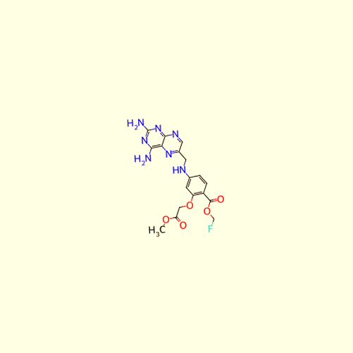 COC(=O)COc1cc(NCc2cnc3nc(N)nc(N)c3n2)ccc1C(=O)OCF